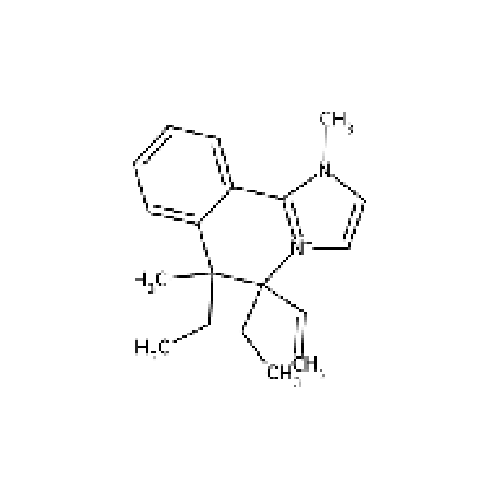 C=CC1(CC)[n+]2ccn(C)c2-c2ccccc2C1(C)CC